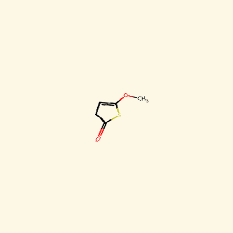 COC1=CCC(=O)S1